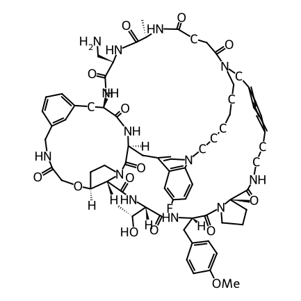 COc1ccc(C[C@@H]2NC(=O)[C@H]([C@@H](C)O)NC(=O)[C@@H]3[C@@H]4CCN3C(=O)[C@@H]3Cc5cn(c6ccc(F)cc56)CCCCCCN(Cc5ccc(cc5)CCNC(=O)[C@]5(C)CCCN5C2=O)C(=O)CCC(=O)N[C@@H](C)C(=O)N[C@H](CN)C(=O)N[C@@H](Cc2cccc(c2)CNC(=O)CO4)C(=O)N3)cc1